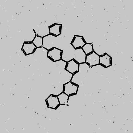 CN1c2ccccc2N(c2ccc(-c3cc(-c4ccc5sc6ccccc6c5c4)cc(-c4nc5ccccc5c5sc6ccccc6c45)c3)cc2)C1c1ccccc1